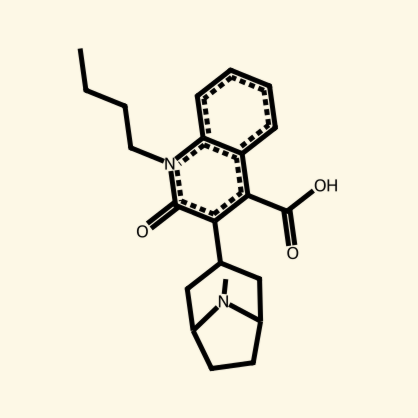 CCCCn1c(=O)c(C2CC3CCC(C2)N3C)c(C(=O)O)c2ccccc21